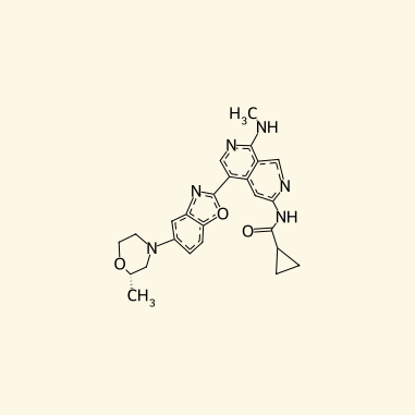 CNc1ncc(-c2nc3cc(N4CCO[C@@H](C)C4)ccc3o2)c2cc(NC(=O)C3CC3)ncc12